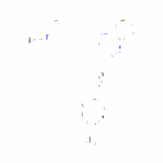 CC(C)N(CCOc1nc2cscc2nc1C#Cc1ccc(C(F)(F)F)cc1)C(C)C